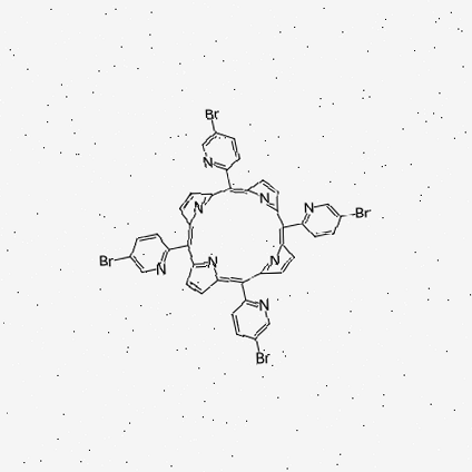 Brc1ccc(C2=C3C=CC(=N3)C(c3ccc(Br)cn3)=C3C=CC(=N3)C(c3ccc(Br)cn3)=C3C=CC(=N3)C(c3ccc(Br)cn3)=C3C=CC2=N3)nc1